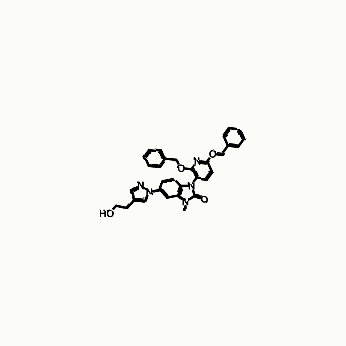 Cn1c(=O)n(-c2ccc(OCc3ccccc3)nc2OCc2ccccc2)c2ccc(-n3cc(CCO)cn3)cc21